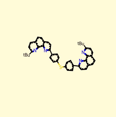 CC(C)(C)c1ccc2ccc3ccc(-c4ccc(Sc5ccc(-c6ccc7ccc8ccc(C(C)(C)C)nc8c7n6)cc5)cc4)nc3c2n1